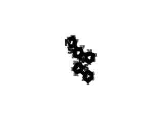 c1ccc2c(c1)sc1c(-n3c4ccccc4c4cc5c(cc43)sc3ncccc35)cccc12